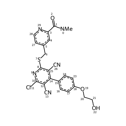 CNC(=O)c1cc(CSc2nc(Cl)c(C#N)c(-c3ccc(OCCO)cc3)c2C#N)ccn1